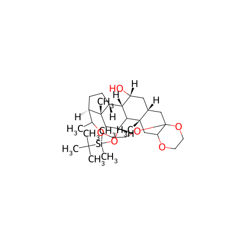 CC1OCCOC23C[C@H]4C[C@@H](O)[C@@H]5C([C@H](O[Si](C)(C)C(C)(C)C)C[C@]6(C)[C@@H]1CC[C@H]56)[C@@]4(C)CC2OCCO3